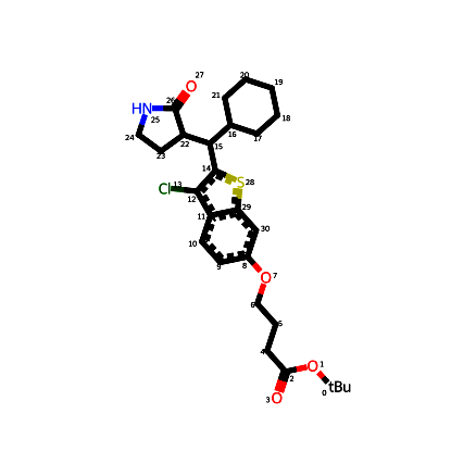 CC(C)(C)OC(=O)CCCOc1ccc2c(Cl)c(C(C3CCCCC3)C3CCNC3=O)sc2c1